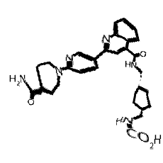 NC(=O)C1CCN(c2ccc(-c3cc(C(=O)NC[C@H]4CC[C@H](CNC(=O)O)CC4)c4ccccc4n3)cn2)CC1